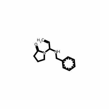 C=CC(NCc1ccccc1)N1CCCC1=O